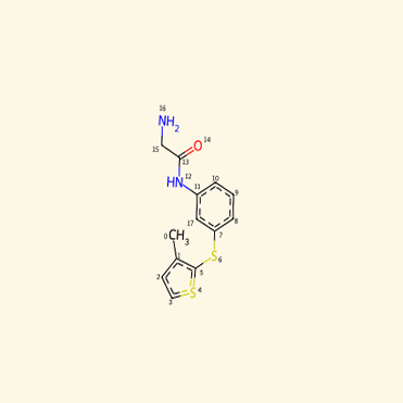 Cc1ccsc1Sc1cccc(NC(=O)CN)c1